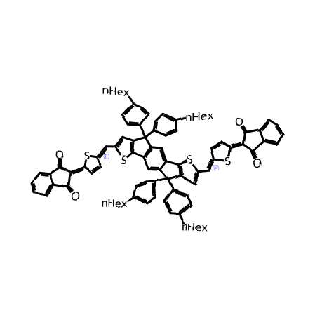 CCCCCCc1ccc(C2(c3ccc(CCCCCC)cc3)c3cc4c(cc3-c3sc(/C=c5\ccc(=C6C(=O)c7ccccc7C6=O)s5)cc32)C(c2ccc(CCCCCC)cc2)(c2ccc(CCCCCC)cc2)c2cc(/C=c3\ccc(=C5C(=O)c6ccccc6C5=O)s3)sc2-4)cc1